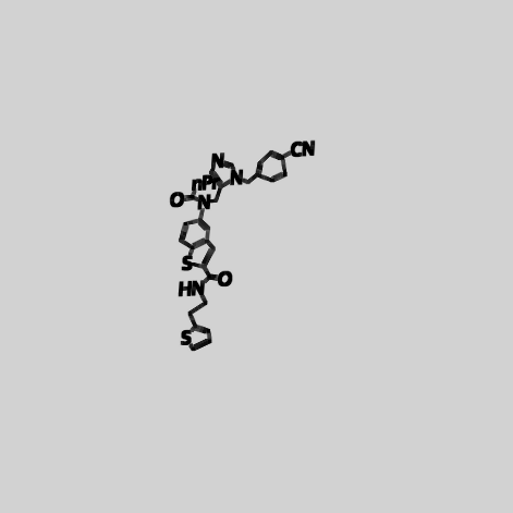 CCCC(=O)N(Cc1cncn1Cc1ccc(C#N)cc1)c1ccc2sc(C(=O)NCCc3cccs3)cc2c1